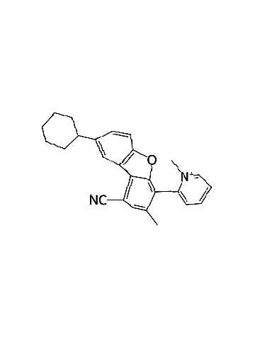 Cc1cc(C#N)c2c(oc3ccc(C4CCCCC4)cc32)c1-c1cccc[n+]1C